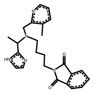 Cc1cccnc1CN(CCCCN1C(=O)c2ccccc2C1=O)C(C)c1ncc[nH]1